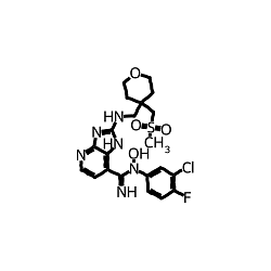 CS(=O)(=O)CC1(CNc2nc3nccc(C(=N)N(O)c4ccc(F)c(Cl)c4)c3[nH]2)CCOCC1